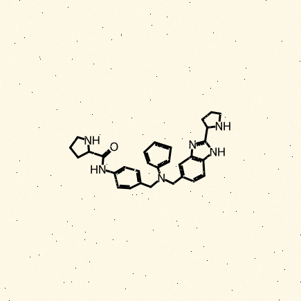 O=C(Nc1ccc(CN(Cc2ccc3[nH]c(C4CCCN4)nc3c2)c2ccccc2)cc1)C1CCCN1